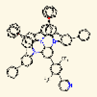 FC(F)(F)c1cc(-c2cc(-n3c4ccc(-c5ccccc5)cc4c4cc(-c5ccccc5)ccc43)c(-n3c4ccc(-c5ccccc5)cc4c4cc(-c5ccccc5)ccc43)c(-n3c4ccc(-c5ccccc5)cc4c4cc(-c5ccccc5)ccc43)c2)c(C(F)(F)F)cc1-c1cccnc1